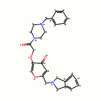 O=C(COc1coc(CN2Cc3ccccc3C2)cc1=O)N1CCN(Cc2ccccc2)CC1